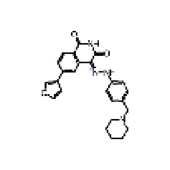 O=C1NC(=O)c2ccc(-c3ccoc3)cc2/C1=N/Nc1ccc(CN2CCCCC2)cc1